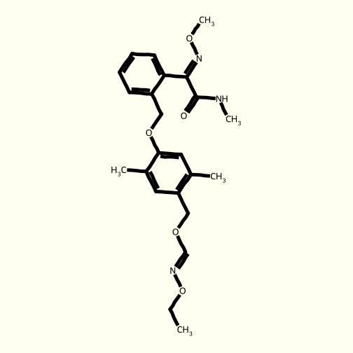 CCON=COCc1cc(C)c(OCc2ccccc2/C(=N\OC)C(=O)NC)cc1C